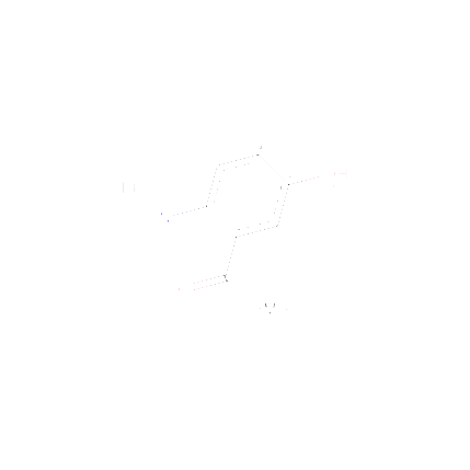 CCNc1ccc(O)cc1C(=O)OC